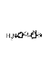 Nc1ccc(OCc2ccc(Br)nc2)cc1